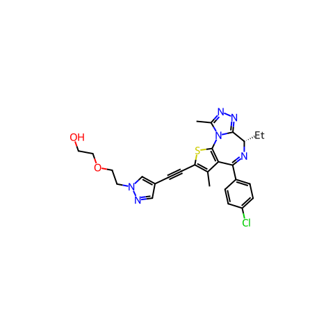 CC[C@@H]1N=C(c2ccc(Cl)cc2)c2c(sc(C#Cc3cnn(CCOCCO)c3)c2C)-n2c(C)nnc21